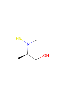 C[C@H](CO)N(C)S